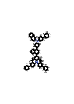 CC1(C)c2cc(-c3ccccc3)ccc2N2c3ccc(-c4ccccc4)cc3C(C)(C)c3cc(-c4ccc(-c5ccc(N(c6ccc(-c7ccccc7)cc6)c6ccc7ccccc7c6)cc5)c5ccccc45)cc1c32